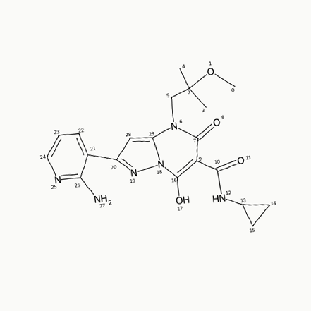 COC(C)(C)Cn1c(=O)c(C(=O)NC2CC2)c(O)n2nc(-c3cccnc3N)cc12